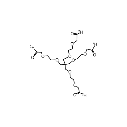 [2H]C(=O)COCCOCC(COCCOCC([2H])=O)(COCCOCC([2H])=O)COCCOCC([2H])=O